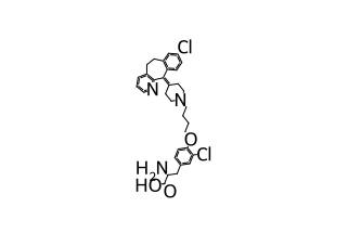 N[C@@H](Cc1ccc(OCCCCN2CCC(=C3c4ccc(Cl)cc4CCc4cccnc43)CC2)c(Cl)c1)C(=O)O